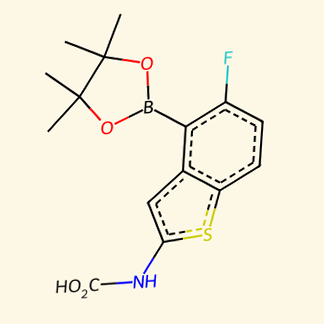 CC1(C)OB(c2c(F)ccc3sc(NC(=O)O)cc23)OC1(C)C